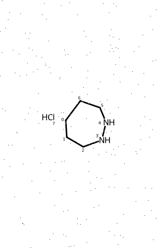 C1CCNNCC1.Cl